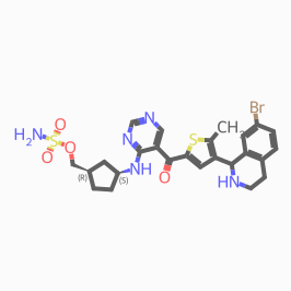 Cc1sc(C(=O)c2cncnc2N[C@H]2CC[C@@H](COS(N)(=O)=O)C2)cc1C1NCCc2ccc(Br)cc21